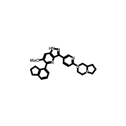 COc1cc2[nH]nc(-c3ccc(N4CCN5CCCC5C4)nc3)c2nc1-c1cccc2c1CCC2